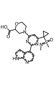 CN=S(C)(=O)C1(c2cc(N3CCOC(C(=O)O)C3)nc(-c3ccnc4[nH]ccc34)n2)CC1